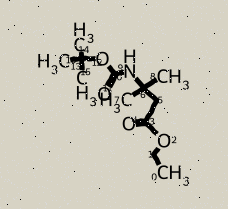 CCOC(=O)CC(C)(C)NC(=O)OC(C)(C)C